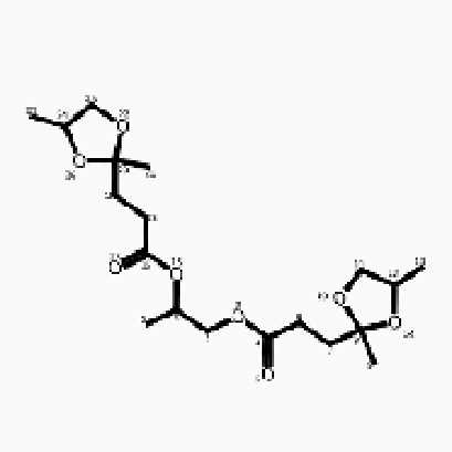 CC(COC(=O)CCC1(C)OCC(C)O1)OC(=O)CCC1(C)OCC(C)O1